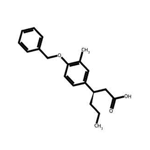 CCC[C@H](CC(=O)O)c1ccc(OCc2ccccc2)c(C)c1